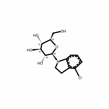 OC[C@H]1O[C@@H](N2CCc3c(Cl)cccc32)[C@H](O)[C@@H](O)[C@@H]1O